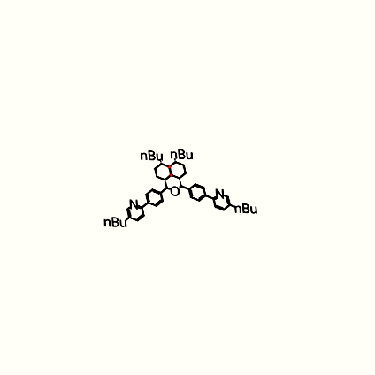 CCCCc1ccc(-c2ccc(C(OC(c3ccc(-c4ccc(CCCC)cn4)cc3)[C@H]3CC[C@H](CCCC)CC3)[C@H]3CC[C@H](CCCC)CC3)cc2)nc1